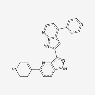 C1=C(c2ccc3[nH]nc(-c4cc5c(-c6ccncc6)ccnc5[nH]4)c3n2)CCNC1